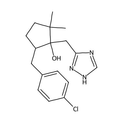 CC1(C)CCC(Cc2ccc(Cl)cc2)C1(O)Cc1nc[nH]n1